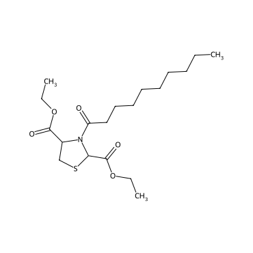 CCCCCCCCCC(=O)N1C(C(=O)OCC)CSC1C(=O)OCC